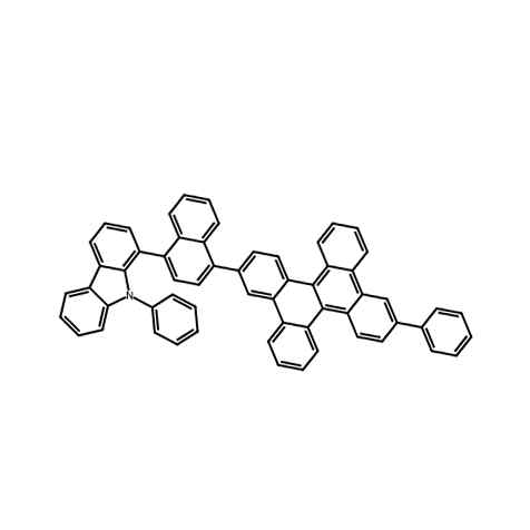 c1ccc(-c2ccc3c(c2)c2ccccc2c2c4ccc(-c5ccc(-c6cccc7c8ccccc8n(-c8ccccc8)c67)c6ccccc56)cc4c4ccccc4c32)cc1